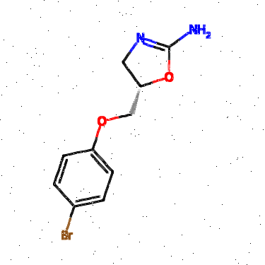 NC1=NC[C@@H](COc2ccc(Br)cc2)O1